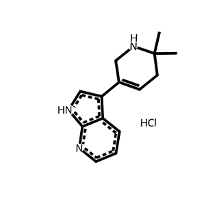 CC1(C)CC=C(c2c[nH]c3ncccc23)CN1.Cl